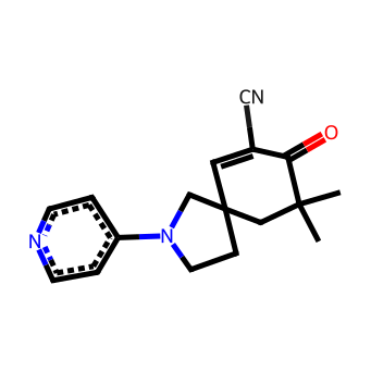 CC1(C)CC2(C=C(C#N)C1=O)CCN(c1ccncc1)C2